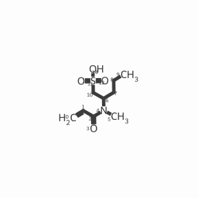 C=CC(=O)N(C)C(CCC)CS(=O)(=O)O